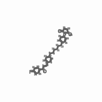 O=C(C=Cc1ccc(CCCCCCc2ccc(N3C(=O)C=CC3=O)cc2)cc1)c1ccc(F)cc1